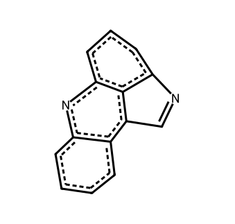 C1=Nc2cccc3nc4ccccc4c1c23